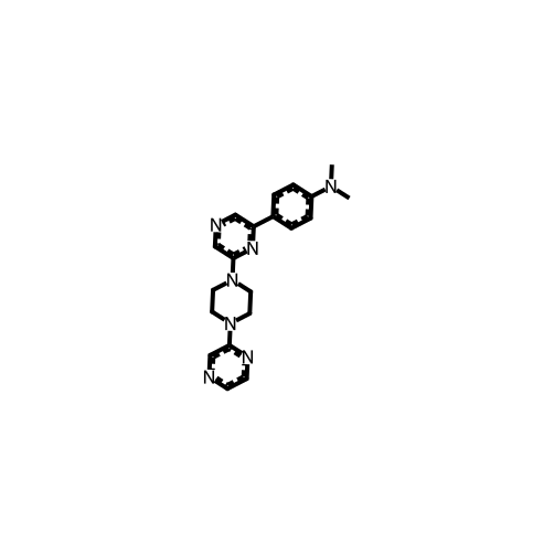 CN(C)c1ccc(-c2cncc(N3CCN(c4cnccn4)CC3)n2)cc1